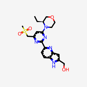 CC[C@H]1COCCN1c1cc(CS(C)(=O)=O)nc(-c2ccc3[nH]c(CO)cc3n2)n1